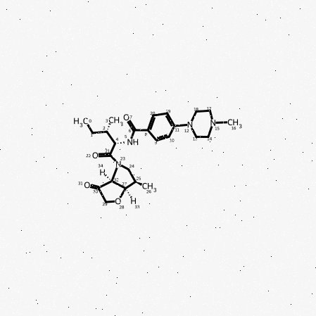 CC[C@H](C)[C@H](NC(=O)c1ccc(N2CCN(C)CC2)cc1)C(=O)N1C[C@@H](C)[C@H]2OCC(=O)[C@H]21